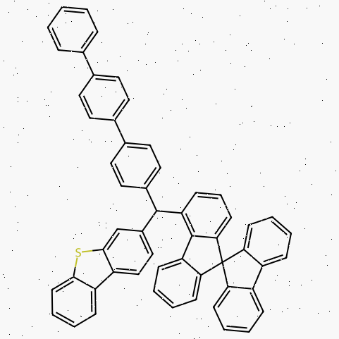 c1ccc(-c2ccc(-c3ccc(C(c4ccc5c(c4)sc4ccccc45)c4cccc5c4-c4ccccc4C54c5ccccc5-c5ccccc54)cc3)cc2)cc1